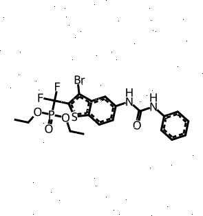 CCOP(=O)(OCC)C(F)(F)c1sc2ccc(NC(=O)Nc3ccccc3)cc2c1Br